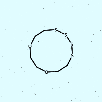 C1COCCSSSSCCO1